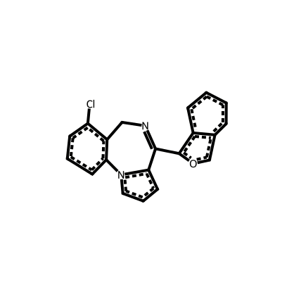 Clc1cccc2c1CN=C(c1occ3ccccc13)c1cccn1-2